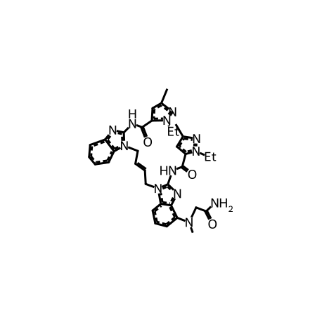 CCn1nc(C)cc1C(=O)Nc1nc2ccccc2n1CC=CCn1c(NC(=O)c2cc(C)nn2CC)nc2c(N(C)CC(N)=O)cccc21